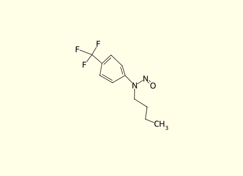 CCCCN(N=O)c1ccc(C(F)(F)F)cc1